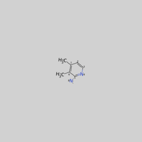 Cc1ccncc1C.[N]